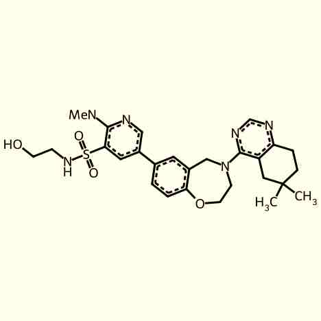 CNc1ncc(-c2ccc3c(c2)CN(c2ncnc4c2CC(C)(C)CC4)CCO3)cc1S(=O)(=O)NCCO